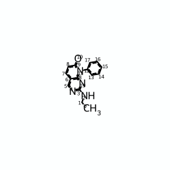 CCNc1ncc2ccc(=O)n(-c3ccccc3)c2n1